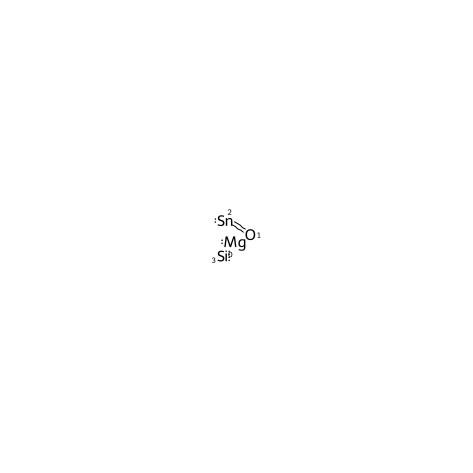 [Mg].[O]=[Sn].[Si]